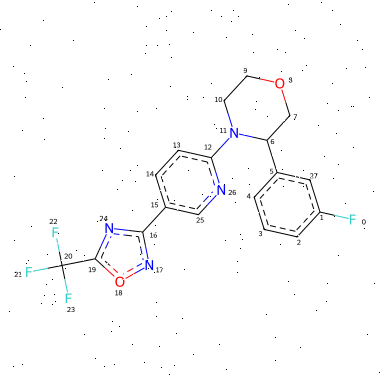 Fc1cccc(C2COCCN2c2ccc(-c3noc(C(F)(F)F)n3)cn2)c1